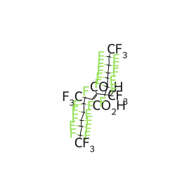 O=C(O)C(=C(C(=O)O)C(F)(C(F)(F)F)C(F)(F)C(F)(F)C(F)(F)C(F)(F)C(F)(F)C(F)(F)F)C(F)(C(F)(F)F)C(F)(F)C(F)(F)C(F)(F)C(F)(F)C(F)(F)C(F)(F)F